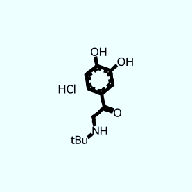 CC(C)(C)NCC(=O)c1ccc(O)c(O)c1.Cl